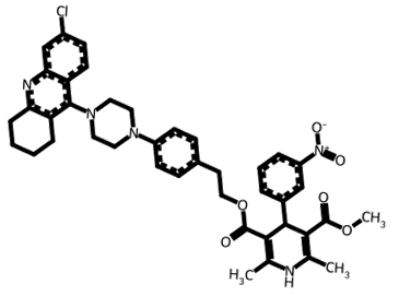 COC(=O)C1=C(C)NC(C)=C(C(=O)OCCc2ccc(N3CCN(c4c5c(nc6cc(Cl)ccc46)CCCC5)CC3)cc2)C1c1cccc([N+](=O)[O-])c1